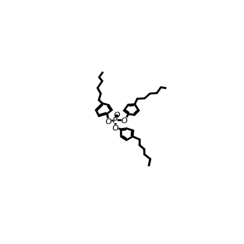 CCCCCCc1ccc(OP(=O)(Oc2ccc(CCCCCC)cc2)Oc2ccc(CCCCCC)cc2)cc1